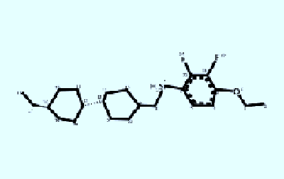 CCOc1ccc([SiH2]CC2CCC([C@H]3CC[C@H](CC)CC3)CC2)c(F)c1F